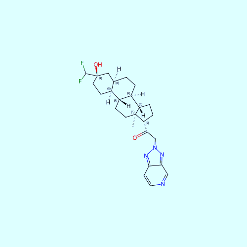 C[C@]12CC[C@H]3[C@@H](CC[C@@H]4C[C@@](O)(C(F)F)CC[C@@H]43)[C@@H]1CC[C@@H]2C(=O)Cn1nc2ccncc2n1